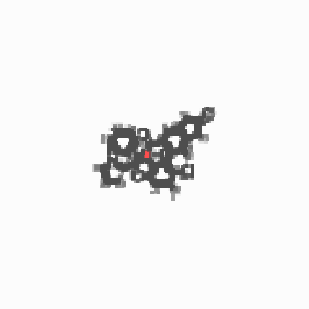 CNC(=O)c1cc2c(c(F)c1-c1c(Cl)c(F)cc3c1C[C@](c1ccccc1)([C@@H]1CCCN1)O3)CC(=O)C2